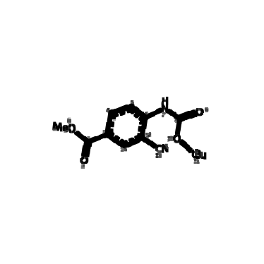 COC(=O)c1ccc(NC(=O)OC(C)(C)C)c(C#N)c1